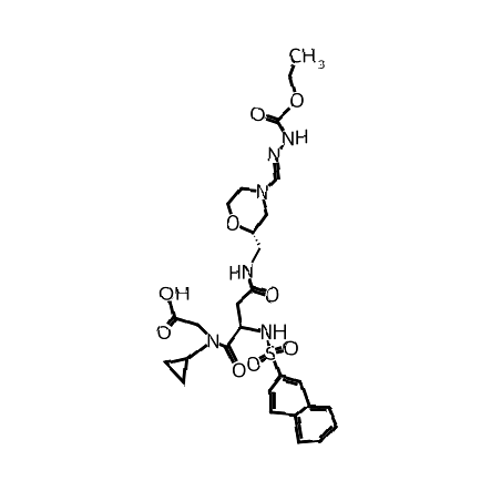 CCOC(=O)NN=CN1CCO[C@@H](CNC(=O)CC(NS(=O)(=O)c2ccc3ccccc3c2)C(=O)N(CC(=O)O)C2CC2)C1